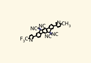 [C-]#[N+]/C(C#N)=C1/c2cc(-c3ccc(C(F)(F)F)nc3)ccc2-c2cc3c(cc21)-c1ccc(-c2ccc(C)nc2)cc1/C3=C(/C#N)[N+]#[C-]